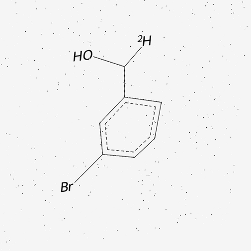 [2H]C(O)c1cccc(Br)c1